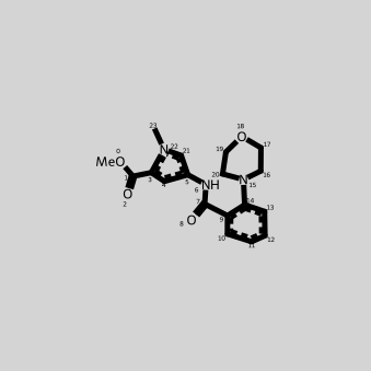 COC(=O)c1cc(NC(=O)c2ccccc2N2CCOCC2)cn1C